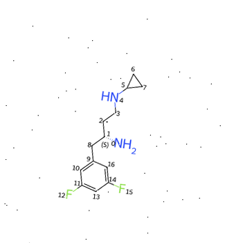 N[C@@H]([CH]CNC1CC1)Cc1cc(F)cc(F)c1